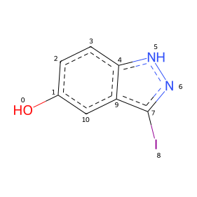 Oc1ccc2[nH]nc(I)c2c1